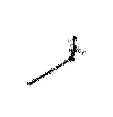 Cc1ccnc(NCCCC(=O)NCC(=O)N[C@@H](CC(=O)O)c2ccc(-c3ccc(OCCOCCOCCOCCOCCOCCOCCOCCOCCOCCOCCOCCN=[N+]=[N-])c4ccccc34)cc2)c1